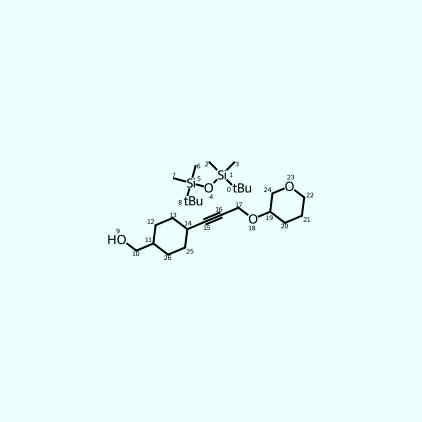 CC(C)(C)[Si](C)(C)O[Si](C)(C)C(C)(C)C.OCC1CCC(C#CCOC2CCCOC2)CC1